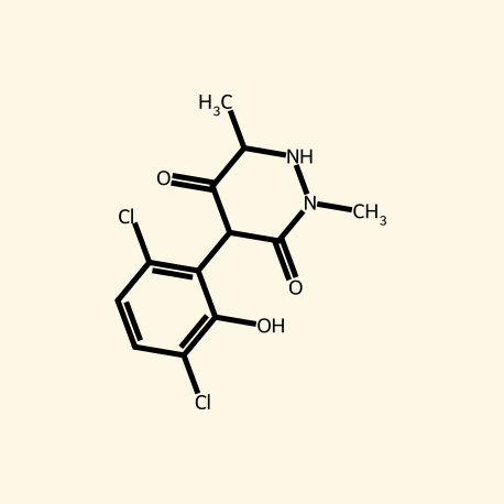 CC1NN(C)C(=O)C(c2c(Cl)ccc(Cl)c2O)C1=O